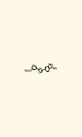 COc1cncc(-c2nc(-c3ccc4c(c3)nnn4C(C)C)co2)c1